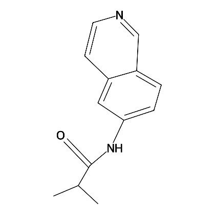 CC(C)C(=O)Nc1ccc2cnccc2c1